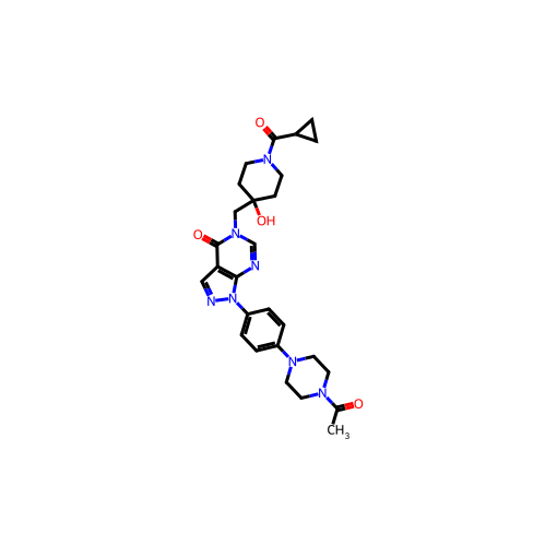 CC(=O)N1CCN(c2ccc(-n3ncc4c(=O)n(CC5(O)CCN(C(=O)C6CC6)CC5)cnc43)cc2)CC1